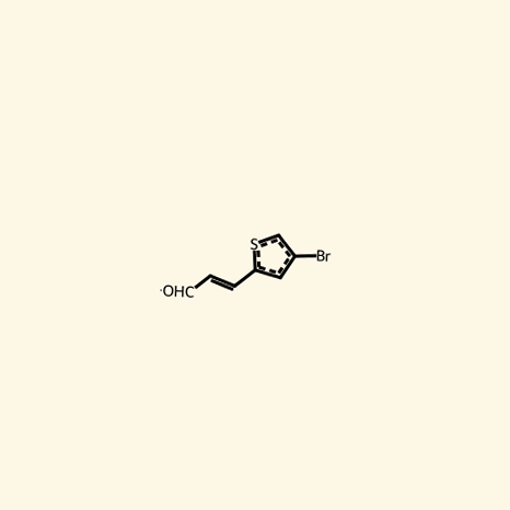 O=[C]C=Cc1cc(Br)cs1